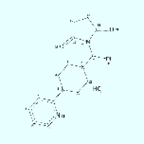 CCC(N1CCN(c2ccccn2)CC1)N1C(=O)CCC1=O.Cl